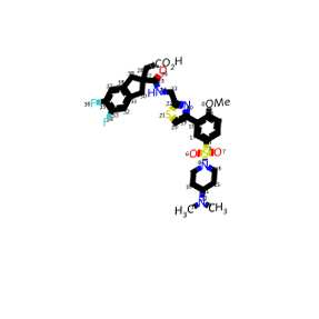 COc1ccc(S(=O)(=O)N2CCC(N(C)C)CC2)cc1-c1csc(CNC(=O)C2(CC(=O)O)Cc3cc(F)c(F)cc3C2)n1